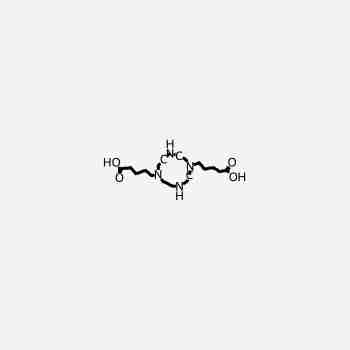 O=C(O)CCCCN1CCNCCN(CCCCC(=O)O)CCNCC1